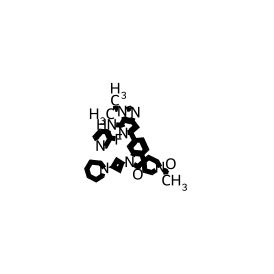 CC(=O)N1CCC2(CC1)C(=O)N([C@H]1C[C@@H](N3CCCCCC3)C1)c1cc(-c3cc4ncn(C(C)C)c4c(Nc4ccncc4F)n3)ccc12